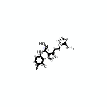 Nc1nnnn1CCc1nonc1/C(=N/O)Nc1ccc(F)c(Cl)c1